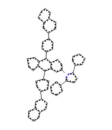 c1ccc(-c2ccc(-c3ccccc3)n2-c2ccc3c(-c4ccc(-c5ccc6ccccc6c5)cc4)c4ccccc4c(-c4ccc(-c5ccc6ccccc6c5)cc4)c3c2)cc1